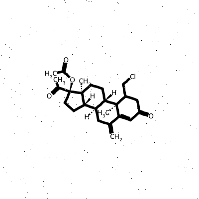 C=C1C[C@H]2[C@@H]3CC[C@](OC(C)=O)(C(C)=O)[C@@]3(C)CC[C@@H]2[C@]2(C)C1=CC(=O)CC2CCl